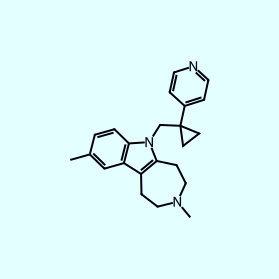 Cc1ccc2c(c1)c1c(n2CC2(c3ccncc3)CC2)CCN(C)CC1